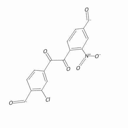 O=[C]c1ccc(C(=O)C(=O)c2ccc([C]=O)c(Cl)c2)c([N+](=O)[O-])c1